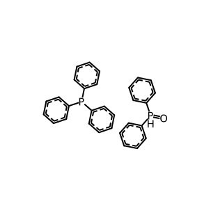 O=[PH](c1ccccc1)c1ccccc1.c1ccc(P(c2ccccc2)c2ccccc2)cc1